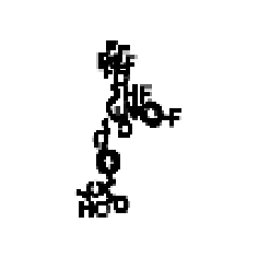 CCOC(Cc1ccc(OCCN(CCCOC(F)(F)C(F)(F)F)C(=O)Nc2ccc(F)cc2F)cc1)C(=O)O